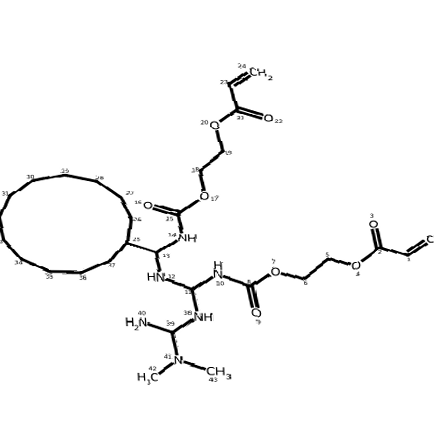 C=CC(=O)OCCOC(=O)NC(NC(NC(=O)OCCOC(=O)C=C)C1CCCCCCCCCCCC1)NC(N)N(C)C